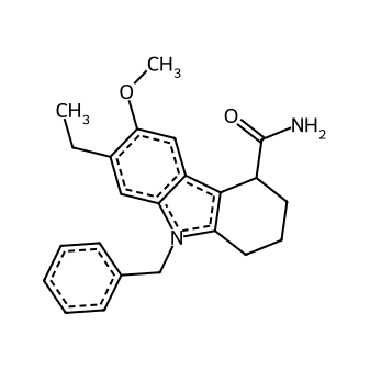 CCc1cc2c(cc1OC)c1c(n2Cc2ccccc2)CCCC1C(N)=O